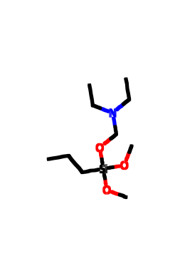 CCC[Si](OC)(OC)OCN(CC)CC